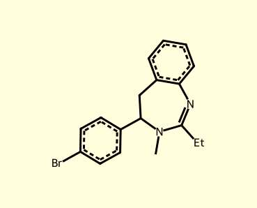 CCC1=Nc2ccccc2CC(c2ccc(Br)cc2)N1C